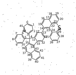 c1ccc(C2(c3ccccc3)c3cc(-c4ccc5cccc6c5c4-c4ccccc4S6)ccc3-c3c2ccc2ccccc32)cc1